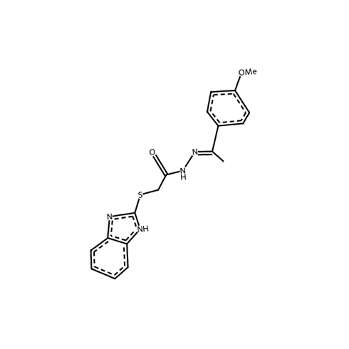 COc1ccc(/C(C)=N/NC(=O)CSc2nc3ccccc3[nH]2)cc1